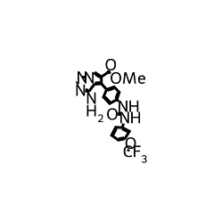 COC(=O)c1cn2ncnc(N)c2c1-c1ccc(NC(=O)Nc2cccc(OC(F)(F)F)c2)cc1